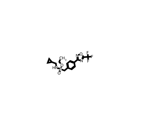 CCOP(=O)(Cc1ccc(-c2noc(C(F)(F)F)n2)cc1)NCC1CC1